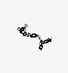 CCC(C)N1N=CC(Cc2ccc(N3CCN(c4ccc(OC[C@@H]5CO[C@@](Cc6ccnnc6)(c6ccc(C)cc6)O5)cc4)CC3)cc2)C1=O